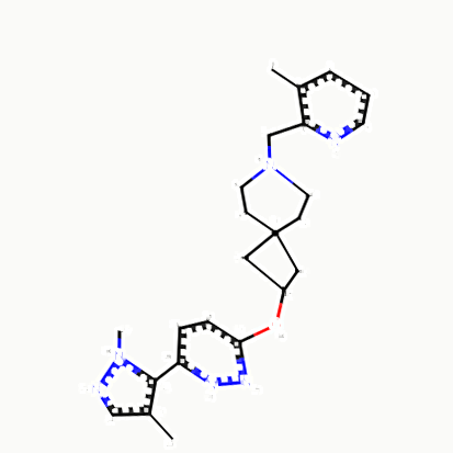 Cc1cccnc1CN1CCC2(CC1)CC(Oc1ccc(-c3c(C)cnn3C)nn1)C2